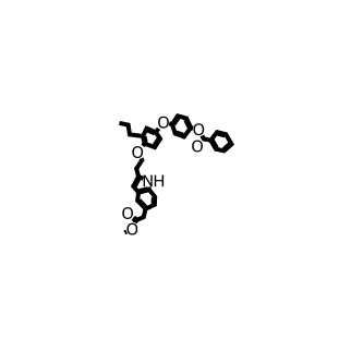 CCCc1cc(Oc2ccc(OC(=O)c3ccccc3)cc2)ccc1OCCc1cc2cc(CC(=O)OC)ccc2[nH]1